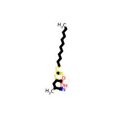 CCCCCCCCCCCCSC(=S)SC(CC(C)C#N)C(=O)O